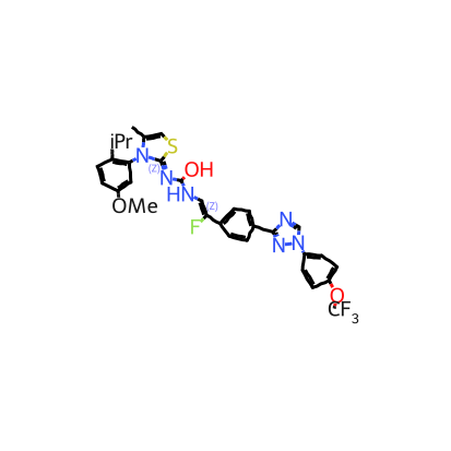 COc1ccc(C(C)C)c(-n2c(C)cs/c2=N\C(O)N/C=C(\F)c2ccc(-c3ncn(-c4ccc(OC(F)(F)F)cc4)n3)cc2)c1